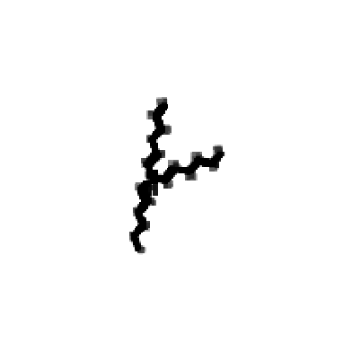 CCCCC=C[SiH](C=CCCCC)C=CCCCC